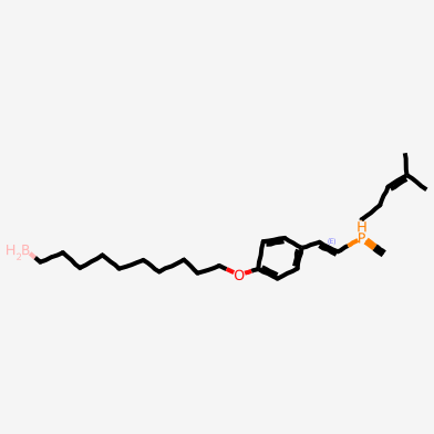 BCCCCCCCCCCOc1ccc(/C=C/[PH](=C)CCC=C(C)C)cc1